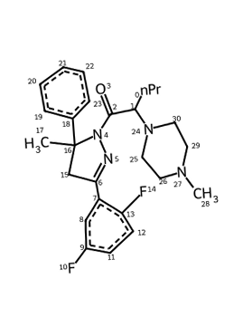 CCCC(C(=O)N1N=C(c2cc(F)ccc2F)CC1(C)c1ccccc1)N1CCN(C)CC1